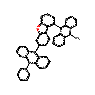 O=[N+]([O-])c1c2ccccc2c(-c2cccc3oc4cc(-c5c6ccccc6c(-c6ccccc6)c6ccccc56)ccc4c23)c2ccccc12